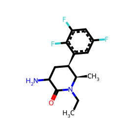 CCN1C(=O)C(N)C[C@@H](c2cc(F)cc(F)c2F)[C@H]1C